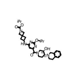 CC(C)OC(=O)N1CC2(CC(Nc3cc(C(=O)N4CC[C@@H](N5CCc6ccccc6C5)[C@H](O)C4)nc(OC(C)C)n3)C2)C1